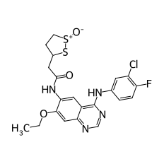 CCOc1cc2ncnc(Nc3ccc(F)c(Cl)c3)c2cc1NC(=O)CC1CC[S+]([O-])S1